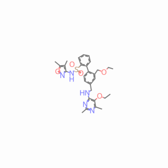 CCOCc1cc(CNc2nc(C)nc(C)c2OCC)ccc1-c1ccccc1S(=O)(=O)Nc1noc(C)c1C